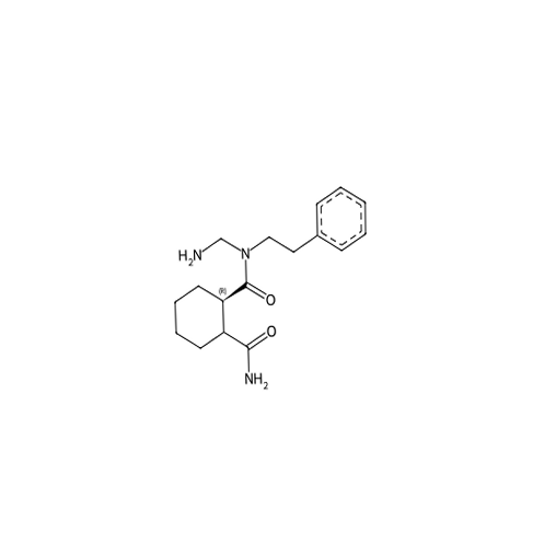 NCN(CCc1ccccc1)C(=O)[C@@H]1CCCCC1C(N)=O